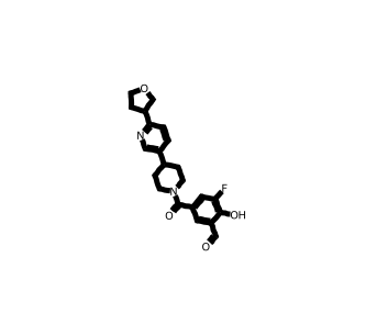 O=Cc1cc(C(=O)N2CCC(c3ccc(C4CCOC4)nc3)CC2)cc(F)c1O